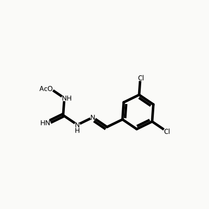 CC(=O)ONC(=N)NN=Cc1cc(Cl)cc(Cl)c1